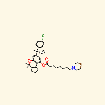 CCCC(C)(c1ccc(F)cc1)c1cc(OC(=O)CCCCCCCN2CCSCC2)c2c(c1)OC(C)(C)C1=C2CCC1